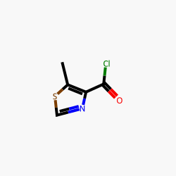 Cc1scnc1C(=O)Cl